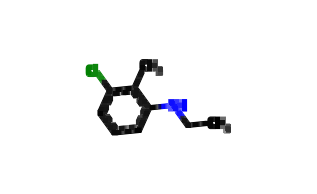 CCNc1cccc(Cl)c1C